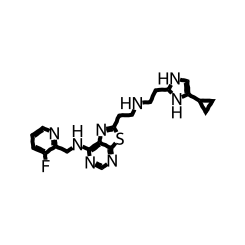 Fc1cccnc1CNc1ncnc2sc(CCNCCC3NC=C(C4CC4)N3)nc12